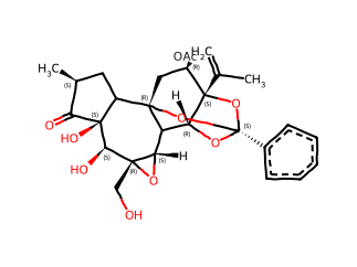 C=C(C)[C@@]12O[C@@]3(c4ccccc4)O[C@@H]1C1[C@@H]4O[C@]4(CO)[C@@H](O)[C@]4(O)C(=O)[C@@H](C)CC4[C@]1(C[C@H]2OC(C)=O)O3